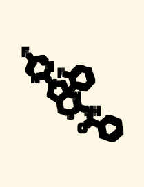 O=C(NC1=NC2(c3ccccc3F)CN(c3ncc(F)cn3)CC2CS1)c1ccccc1